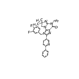 CCCN1C(=O)c2nc(-c3ccc(-c4ccccc4)nc3)n(Cc3ccc(F)c(F)c3)c2N2CC(C)(C)N=C12